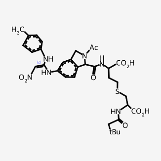 CC(=O)N1Cc2cc(N/C(=C\[N+](=O)[O-])Nc3ccc(C)cc3)ccc2C1C(=O)NC(CCSCC(NC(=O)CC(C)(C)C)C(=O)O)C(=O)O